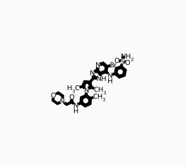 Cc1ccc(NC(=O)CN2CCOCC2)cc1-n1c(C)cc(-c2nc3ncc(Br)c(Nc4cccc(S(N)(=O)=O)c4)c3[nH]2)c1C